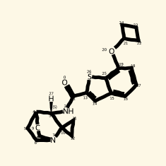 O=C(N[C@H]1C2CCN(CC2)C12CC2)c1cc2cccc(OC3CCC3)c2s1